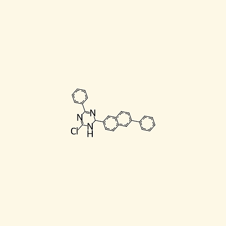 ClC1=NC(c2ccccc2)=NC(c2ccc3cc(-c4ccccc4)ccc3c2)N1